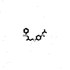 CC(C)CN(C)C1CCC(OCCC(C)CNc2ccccc2)CC1